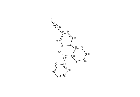 C[C@@H](c1ccccc1)N1CCCCC1c1ccc(C#N)cc1